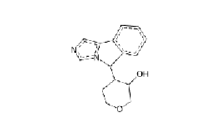 OC1COCCC1C1c2ccccc2-c2cncn21